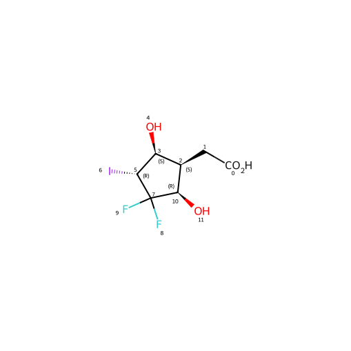 O=C(O)C[C@@H]1[C@H](O)[C@@H](I)C(F)(F)[C@@H]1O